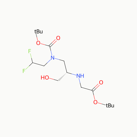 CC(C)(C)OC(=O)CN[C@H](CO)CN(CC(F)F)C(=O)OC(C)(C)C